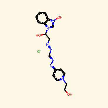 OCCn1ccc(=NN=CN=NCC(O)[n+]2cn(O)c3ccccc32)cc1.[Cl-]